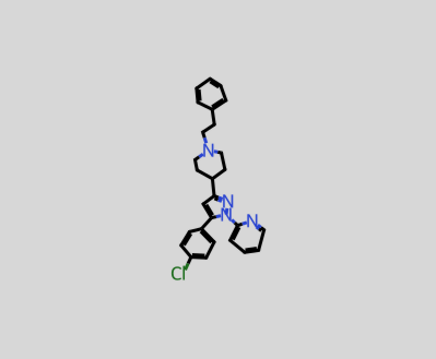 Clc1ccc(-c2cc(C3CCN(CCc4ccccc4)CC3)nn2-c2ccccn2)cc1